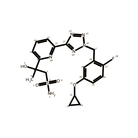 CC(O)(CS(N)(=O)=O)c1cccc(-c2nnn(Cc3cc(OC4CC4)ccc3F)n2)n1